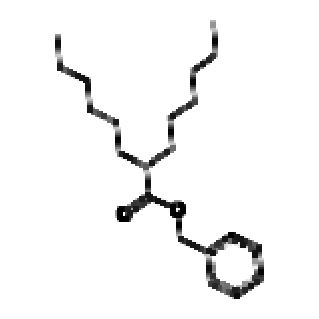 CCCCCCC(CCCCCC)C(=O)OCc1ccccc1